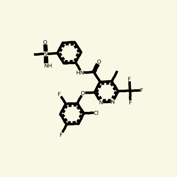 Cc1c(C(F)(F)F)nnc(Oc2c(F)cc(F)cc2Cl)c1C(=O)Nc1cccc(S(C)(=N)=O)c1